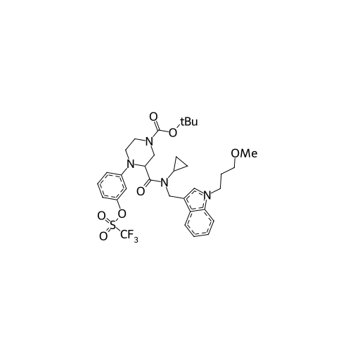 COCCCn1cc(CN(C(=O)C2CN(C(=O)OC(C)(C)C)CCN2c2cccc(OS(=O)(=O)C(F)(F)F)c2)C2CC2)c2ccccc21